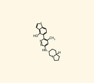 Cc1cc(N[C@@H]2CC[C@@H]3CCCN3C2)nnc1-c1ccc2sccc2c1O